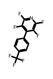 Fc1nc(F)c(F)c(-c2ccc(C(F)(F)F)cc2)c1F